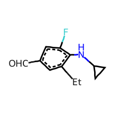 CCc1cc(C=O)cc(F)c1NC1CC1